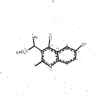 CCCC(C(=O)OCC)c1c(C)nc2ccc(Cl)cc2c1Cl